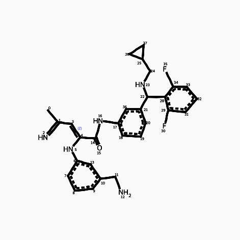 CC(=N)/C=C(\Nc1cccc(CN)c1)C(=O)Nc1cccc(C(NCC2CC2)c2c(F)cccc2F)c1